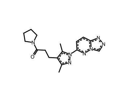 Cc1nn(-c2ccc3nncn3n2)c(C)c1CCC(=O)N1CCCC1